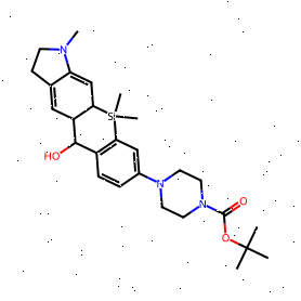 CN1CCC2=CC3C(O)c4ccc(N5CCN(C(=O)OC(C)(C)C)CC5)cc4[Si](C)(C)C3C=C21